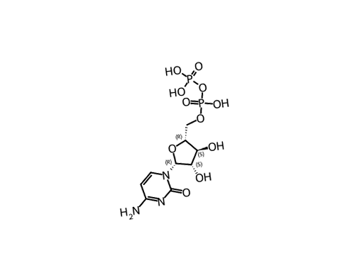 Nc1ccn([C@@H]2O[C@H](COP(=O)(O)OP(=O)(O)O)[C@@H](O)[C@@H]2O)c(=O)n1